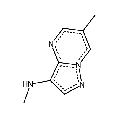 CNc1cnn2cc(C)cnc12